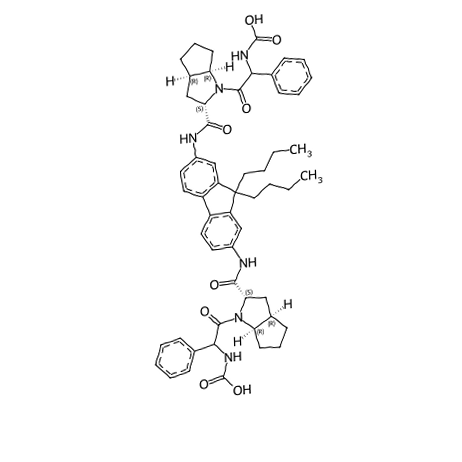 CCCCC1(CCCC)c2cc(NC(=O)[C@@H]3C[C@H]4CCC[C@H]4N3C(=O)C(NC(=O)O)c3ccccc3)ccc2-c2ccc(NC(=O)[C@@H]3C[C@H]4CCC[C@H]4N3C(=O)C(NC(=O)O)c3ccccc3)cc21